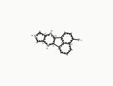 Fc1ccc2c3c(cccc13)-c1nc3cscc3nc1-2